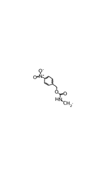 [CH2]NC(=O)OCc1ccc([N+](=O)[O-])cc1